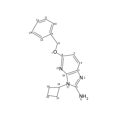 Nc1nc2ccc(OCc3ccccc3)nc2n1C1CCC1